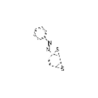 C1=CC2(N=Nc3ccccc3)SC2C2SC12